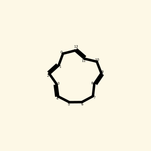 [CH]1/C=C/C=C/CCC/C=C/C/C=C/1